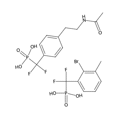 CC(=O)NCCc1ccc(C(F)(F)P(=O)(O)O)cc1.Cc1cccc(C(F)(F)P(=O)(O)O)c1Br